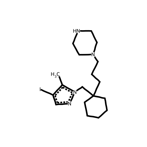 Cc1c(I)cnn1CC1(CCCN2CCNCC2)CCCCC1